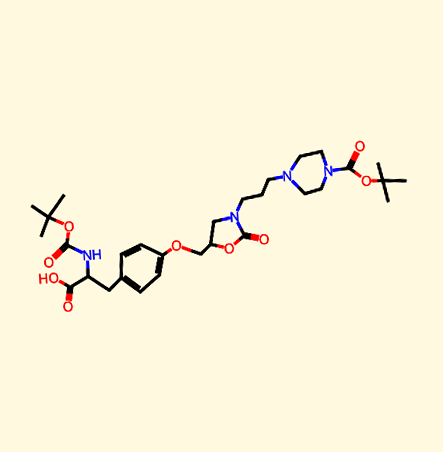 CC(C)(C)OC(=O)NC(Cc1ccc(OCC2CN(CCCN3CCN(C(=O)OC(C)(C)C)CC3)C(=O)O2)cc1)C(=O)O